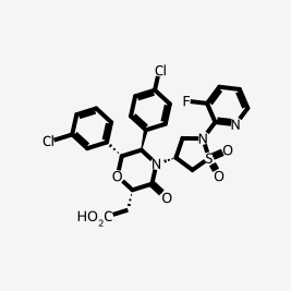 O=C(O)C[C@@H]1O[C@H](c2cccc(Cl)c2)[C@@H](c2ccc(Cl)cc2)N([C@@H]2CN(c3ncccc3F)S(=O)(=O)C2)C1=O